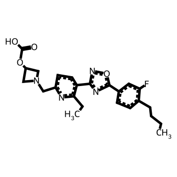 CCCCc1ccc(-c2nc(-c3ccc(CN4CC(OC(=O)O)C4)nc3CC)no2)cc1F